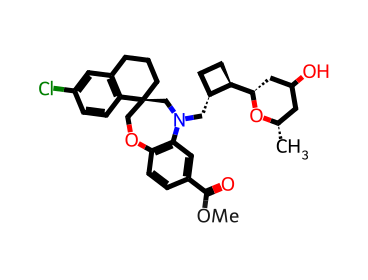 COC(=O)c1ccc2c(c1)N(C[C@@H]1CC[C@H]1[C@@H]1CC(O)C[C@H](C)O1)C[C@@]1(CCCc3cc(Cl)ccc31)CO2